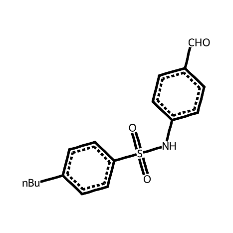 CCCCc1ccc(S(=O)(=O)Nc2ccc(C=O)cc2)cc1